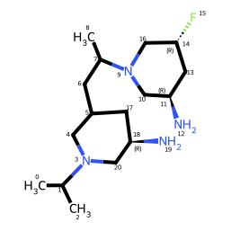 CC(C)N1CC(CC(C)N2C[C@H](N)C[C@@H](F)C2)C[C@@H](N)C1